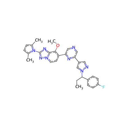 CCC(c1ccc(F)cc1)n1cc(-c2cncc(-c3ccn4nc(-n5c(C)ccc5C)nc4c3OC)n2)cn1